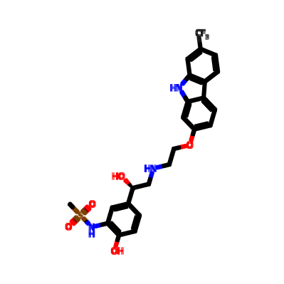 CS(=O)(=O)Nc1cc([C@@H](O)CNCCOc2ccc3c(c2)[nH]c2cc(C(F)(F)F)ccc23)ccc1O